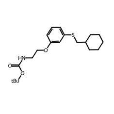 CC(C)(C)OC(=O)NCCOc1cccc(SCC2CCCCC2)c1